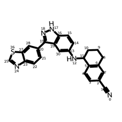 N#Cc1ccc2c(c1)CCCC2Nc1ccc2[nH]nc(-c3ccc4ncsc4c3)c2c1